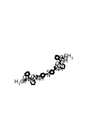 COC(=O)N[C@@H](C(=O)N1CCCC[C@H]1c1ncc(-c2ccc(-c3nc4ccc(-c5cnc([C@@H]6CCCCN6C(=O)[C@H](NC(=O)OC)c6ccccc6)[nH]5)cc4s3)cc2)[nH]1)c1ccccc1